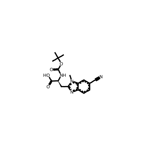 Cn1c(C[C@H](NC(=O)OC(C)(C)C)C(=O)O)nc2ccc(C#N)cc21